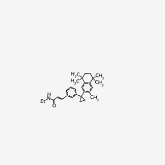 CCNC(=O)/C=C/c1cccc(C2(c3cc4c(cc3C)C(C)(C)CCC4(C)C)CC2)c1